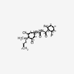 C=CCN(C)c1c(Cl)cc(NC(=O)NC(=O)c2c(F)cccc2F)cc1Cl